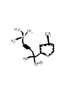 Cc1ccnc(C(C)(O)C#C[Si](C)(C)C)c1